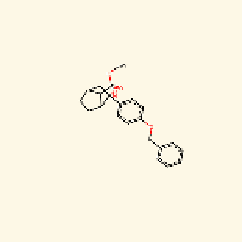 CCCOC(=O)C1C2CCC1C(O)(c1ccc(OCc3ccccc3)cc1)C2